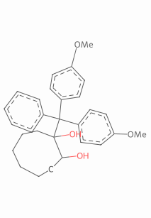 COc1ccc(C(c2ccccc2)(c2ccc(OC)cc2)C2(O)CCCCCCC2O)cc1